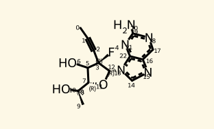 CC#C[C@@]1(F)C(O)[C@@H]([C@@H](C)O)O[C@H]1n1cnc2cnc(N)nc21